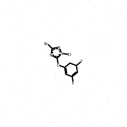 CCn1nc(Br)nc1OC1=CC(F)=CC(F)C1